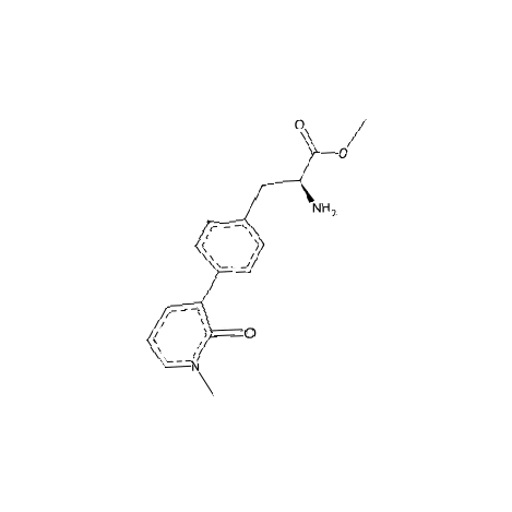 COC(=O)[C@@H](N)Cc1ccc(-c2cccn(C)c2=O)cc1